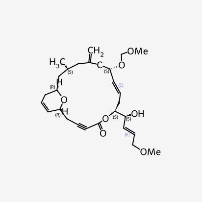 C=C1C[C@H](C)C[C@@H]2CC=C[C@@H](CC#CC(=O)O[C@H]([C@@H](O)/C=C/COC)C/C=C/[C@@H](OCOC)C1)O2